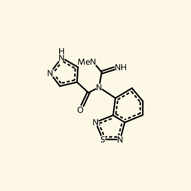 CNC(=N)N(C(=O)c1cn[nH]c1)c1cccc2nsnc12